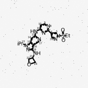 CCS(=O)(=O)n1cc(-c2nccc(Nc3cc4c(cn3)c(NC3COC3)nn4C(C)C)n2)cn1